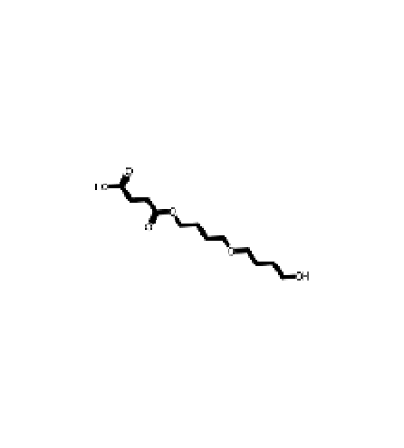 O=C(O)CCC(=O)OCCCCOCCCCO